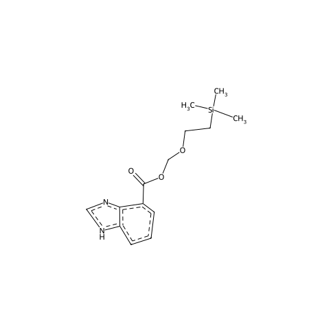 C[Si](C)(C)CCOCOC(=O)c1cccc2[nH]cnc12